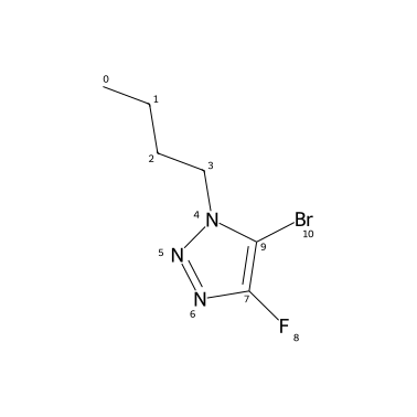 CCCCn1nnc(F)c1Br